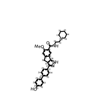 COc1cc2c(cc1C(=O)NCCN1CCCCC1)-c1[nH]nc(-c3ccc(-c4ccc(O)cc4)cc3)c1C2